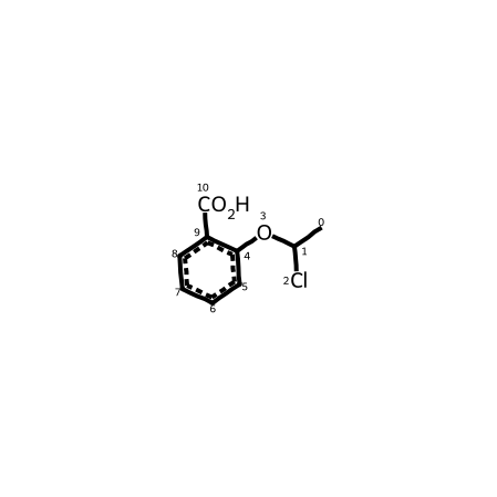 CC(Cl)Oc1ccccc1C(=O)O